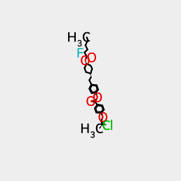 CCCC[C@@H](F)C(=O)O[C@H]1CC[C@H](CCc2ccc(OC(=O)c3ccc(OC[C@H](C)Cl)cc3)cc2)CC1